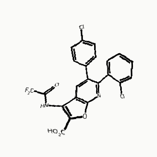 O=C(O)c1oc2nc(-c3ccccc3Cl)c(-c3ccc(Cl)cc3)cc2c1NC(=O)C(F)(F)F